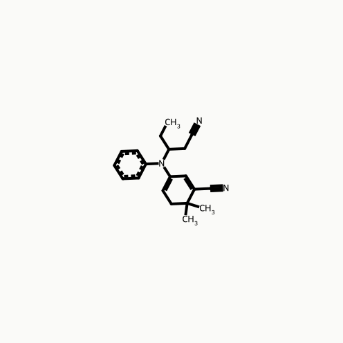 CCC(CC#N)N(C1=CCC(C)(C)C(C#N)=C1)c1ccccc1